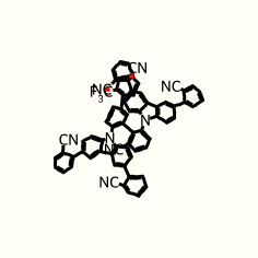 N#Cc1ccc(-c2ccc(-n3c4ccc(-c5ccccc5C#N)cc4c4cc(-c5ccccc5C#N)ccc43)c(-c3c(C#N)cccc3-n3c4ccc(-c5ccccc5C#N)cc4c4cc(-c5ccccc5C#N)ccc43)c2)c(C(F)(F)F)c1